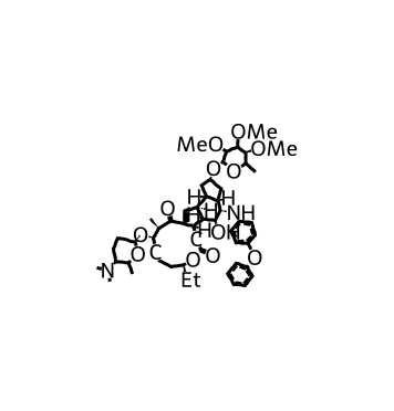 CC[C@H]1CCC[C@H](O[C@H]2CC[C@H](N(C)C)C(C)O2)[C@@H](C)C(=O)C2=C[C@H]3[C@@H]4C[C@H](O[C@@H]5OC(C)[C@H](OC)C(OC)C5OC)C[C@H]4[C@H](Nc4ccc(Oc5ccccc5)cc4)[C@@H](O)[C@H]3[C@@H]2CC(=O)O1